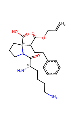 C=CCOC(=O)C(CCc1ccccc1)[C@@]1(C(=O)O)CCCN1C(=O)[C@@H](N)CCCCN